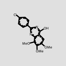 COc1cc2c(O)nc(-c3ccc(Cl)cc3)nc2c(OC)c1OC